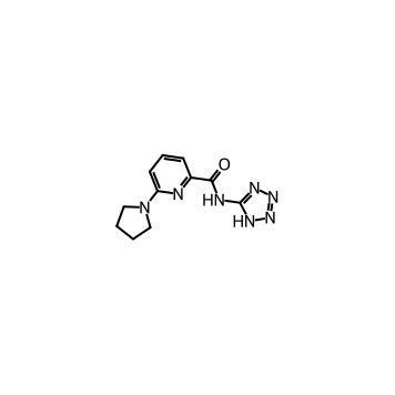 O=C(Nc1nnn[nH]1)c1cccc(N2CCCC2)n1